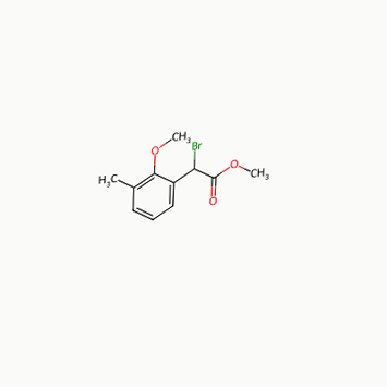 COC(=O)C(Br)c1cccc(C)c1OC